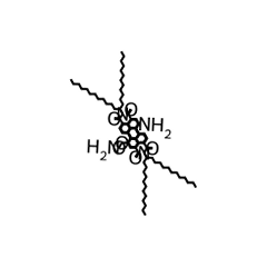 CCCCCCCCCCCCC(CCCCCCCCCCCC)N1C(=O)c2ccc3c4c(OON)cc5c6c(ccc(c7c(N)cc(c2c37)C1=O)c64)C(=O)N(C(CCCCCCCCCCCC)CCCCCCCCCCCC)C5=O